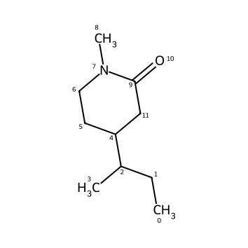 CCC(C)C1CCN(C)C(=O)C1